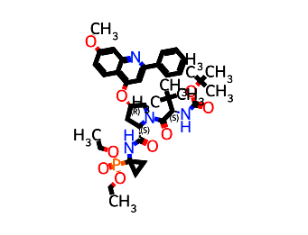 CCOP(=O)(OCC)C1(NC(=O)[C@@H]2C[C@@H](Oc3cc(-c4ccccc4)nc4cc(OC)ccc34)CN2C(=O)[C@@H](NC(=O)OC(C)(C)C)C(C)(C)C)CC1